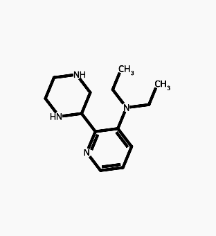 CCN(CC)c1cccnc1C1CNCCN1